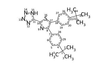 CC(C)(C)c1ccc(-c2nc(-c3nnn[nH]3)sc2-c2ccc(C(C)(C)C)cc2)cc1